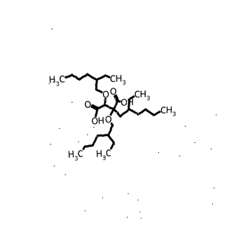 CCCCC(CC)COC(C(=O)O)C(CC(CC)CCCC)(OCC(CC)CCCC)C(=O)O